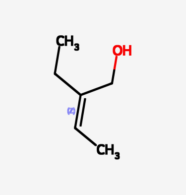 C/C=C(/CC)CO